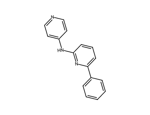 c1ccc(-c2cccc(Nc3ccncc3)n2)cc1